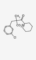 CCOC(=O)C(C)(Cc1cccc(Cl)c1)C(=O)C1CCCCC1